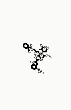 COc1cccc2[nH]c(C(=O)N[C@@H](CC(C)C)C(=O)N[C@@H](C[C@@H]3CCCNC3=O)C(=O)COC(=O)C3(C#N)CCCCC3)cc12